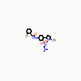 CN(C)C=NS(=O)(=O)c1cc(NC(=O)Cc2ccccc2Cl)ccc1-c1ccc(C#N)n1C